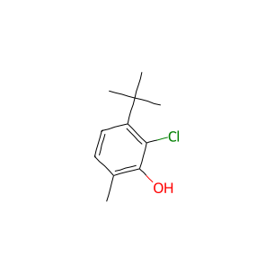 Cc1ccc(C(C)(C)C)c(Cl)c1O